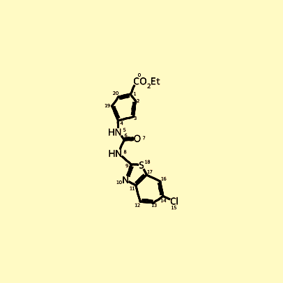 CCOC(=O)c1ccc(NC(=O)Nc2nc3ccc(Cl)cc3s2)cc1